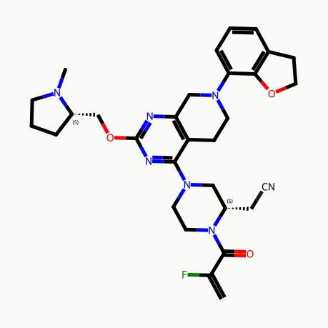 C=C(F)C(=O)N1CCN(c2nc(OC[C@@H]3CCCN3C)nc3c2CCN(c2cccc4c2OCC4)C3)C[C@@H]1CC#N